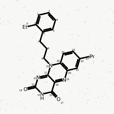 CCc1ccccc1CCCn1c2nc(=O)[nH]c(=O)c-2nc2cc(C(C)C)ccc21